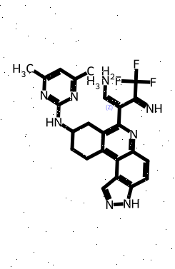 Cc1cc(C)nc(NC2CCc3c(c(/C(=C/N)C(=N)C(F)(F)F)nc4ccc5[nH]ncc5c34)C2)n1